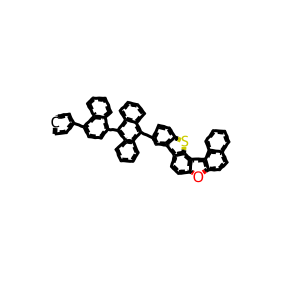 c1ccc(-c2ccc(-c3c4ccccc4c(-c4ccc5sc6c(ccc7oc8ccc9ccccc9c8c76)c5c4)c4ccccc34)c3ccccc23)cc1